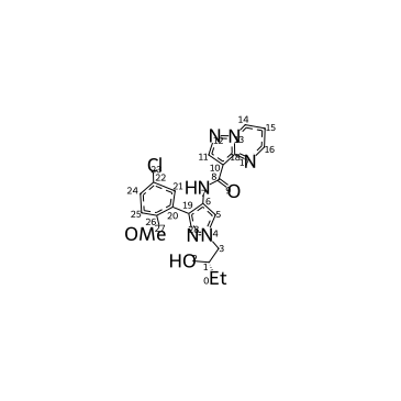 CC[C@H](O)Cn1cc(NC(=O)c2cnn3cccnc23)c(-c2cc(Cl)ccc2OC)n1